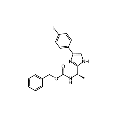 C[C@@H](NC(=O)OCc1ccccc1)c1nc(-c2ccc(I)cc2)c[nH]1